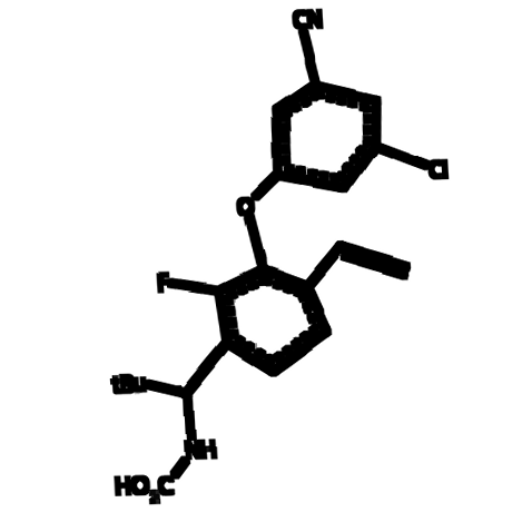 C=Cc1ccc(C(NC(=O)O)C(C)(C)C)c(F)c1Oc1cc(Cl)cc(C#N)c1